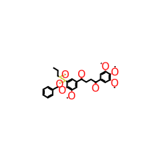 CCCS(=O)(=O)c1cc(C(=O)CCC(=O)c2cc(OC)c(OC)c(OC)c2)cc(OC)c1OCc1ccccc1